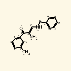 Cc1cccc(C(=O)/C(N)=C/NCc2ccccc2)c1